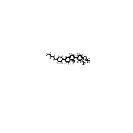 CCCCCC1CCC(c2ccc3c(F)c(-c4ccc(OC(F)F)cc4)ccc3c2)CC1